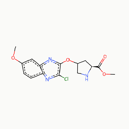 COC(=O)[C@@H]1CC(Oc2nc3cc(OC)ccc3nc2Cl)CN1